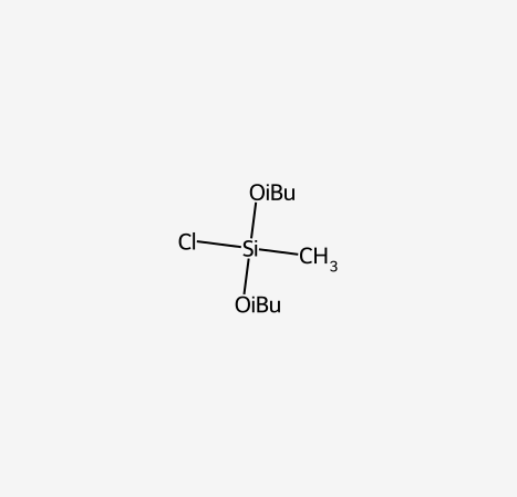 CC(C)CO[Si](C)(Cl)OCC(C)C